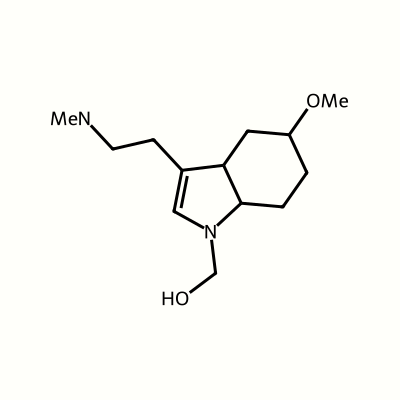 CNCCC1=CN(CO)C2CCC(OC)CC12